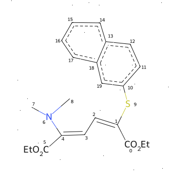 CCOC(=O)C(=CC=C(C(=O)OCC)N(C)C)Sc1ccc2ccccc2c1